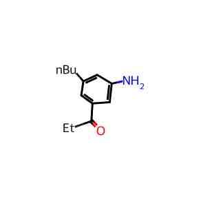 CCCCc1cc(N)cc(C(=O)CC)c1